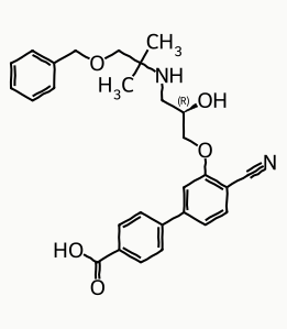 CC(C)(COCc1ccccc1)NC[C@@H](O)COc1cc(-c2ccc(C(=O)O)cc2)ccc1C#N